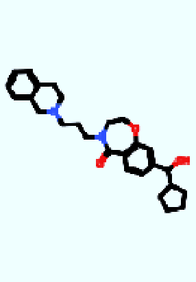 O=C1c2ccc(C(O)C3CCCC3)cc2OCCN1CCCN1CCc2ccccc2C1